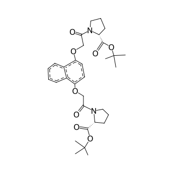 CC(C)(C)OC(=O)[C@H]1CCCN1C(=O)COc1ccc(OCC(=O)N2CCC[C@@H]2C(=O)OC(C)(C)C)c2ccccc12